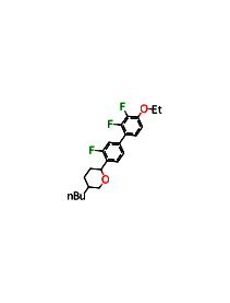 CCCCC1CCC(c2ccc(-c3ccc(OCC)c(F)c3F)cc2F)OC1